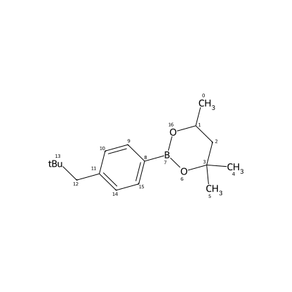 CC1CC(C)(C)OB(c2ccc(CC(C)(C)C)cc2)O1